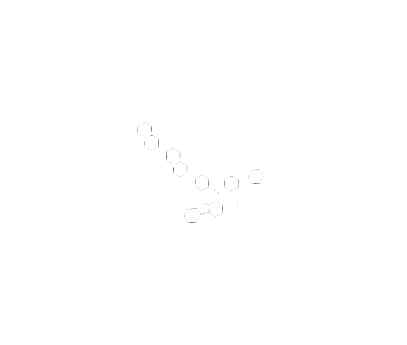 CC1(C)c2ccccc2-c2ccc(N(c3ccc(-c4ccc5cc(-c6ccc7ccccc7c6)ccc5c4)cc3)c3cccc4c3oc3ccccc34)cc21